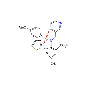 COc1ccc(S(=O)(=O)N(Cc2cccnc2)c2c(C(=O)O)cc(C)cc2-c2cccs2)cc1